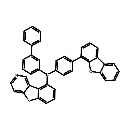 c1ccc(-c2cccc(N(c3ccc(-c4cccc5c4oc4ccccc45)cc3)c3cccc4sc5ccncc5c34)c2)cc1